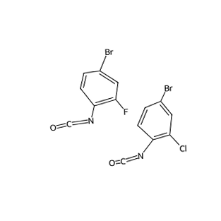 O=C=Nc1ccc(Br)cc1Cl.O=C=Nc1ccc(Br)cc1F